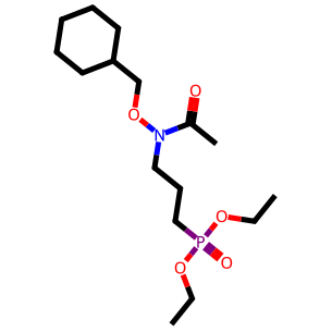 CCOP(=O)(CCCN(OCC1CCCCC1)C(C)=O)OCC